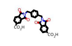 O=C(O)c1ccc2c(c1)C(=O)N(Cc1ccc(CN3C(=O)c4ccc(C(=O)O)cc4C3=O)cc1)C2=O